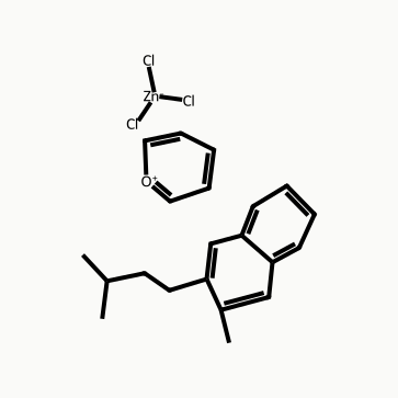 Cc1cc2ccccc2cc1CCC(C)C.[Cl][Zn-]([Cl])[Cl].c1cc[o+]cc1